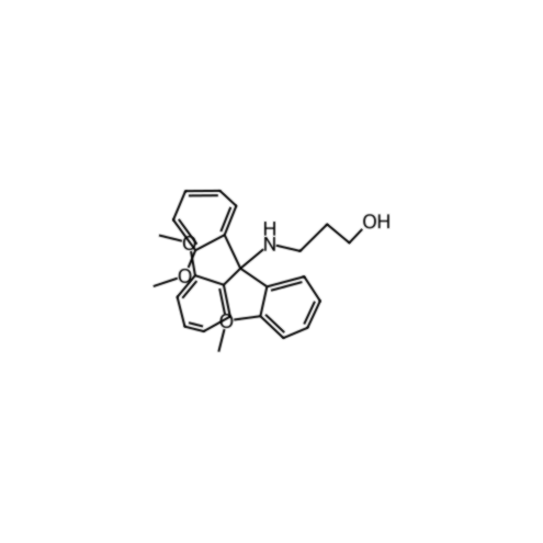 COc1ccccc1C(NCCCO)(c1ccccc1OC)c1ccccc1OC